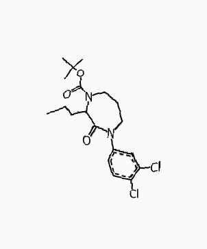 CCCC1C(=O)N(c2ccc(Cl)c(Cl)c2)CCCN1C(=O)OC(C)(C)C